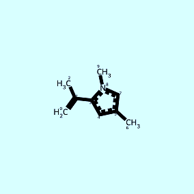 C=C(C)c1cc(C)cn1C